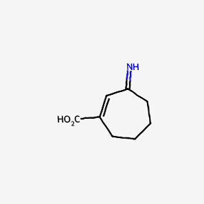 N=C1C=C(C(=O)O)CCCC1